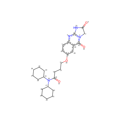 O=C1Cn2c(nc3ccc(OCCCC(=O)N(C4CCCCC4)C4CCCCC4)cc3c2=O)N1